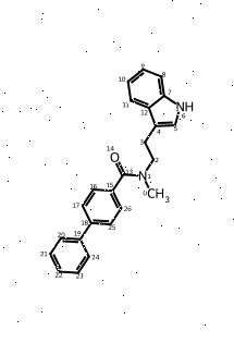 CN(CCc1c[nH]c2ccccc12)C(=O)c1ccc(-c2ccccc2)cc1